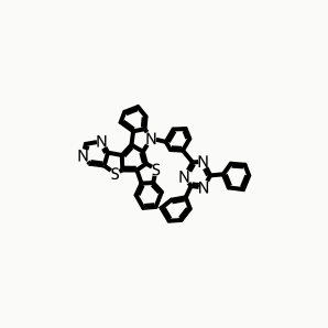 c1ccc(-c2nc(-c3ccccc3)nc(-c3cccc(-n4c5ccccc5c5c6c7ncncc7sc6c6c7ccccc7sc6c54)c3)n2)cc1